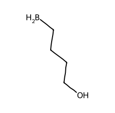 BCCCCO